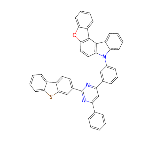 c1ccc(-c2cc(-c3cccc(-n4c5ccccc5c5c6c(ccc54)oc4ccccc46)c3)nc(-c3ccc4c(c3)sc3ccccc34)n2)cc1